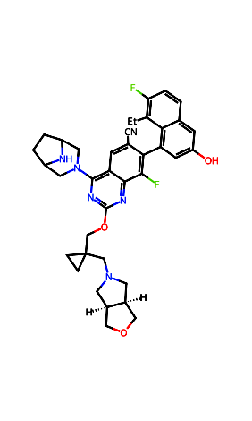 CCc1c(F)ccc2cc(O)cc(-c3c(C#N)cc4c(N5CC6CCC(C5)N6)nc(OCC5(CN6C[C@H]7COC[C@H]7C6)CC5)nc4c3F)c12